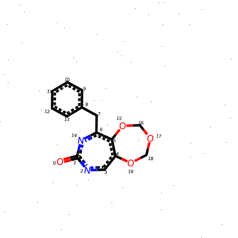 O=c1ncc2c(c(Cc3ccccc3)n1)OCOCO2